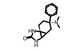 CN(C)[C@@]1(c2ccccc2)CC[C@]23NC(=O)NC2C3C1